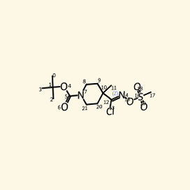 CC(C)(C)OC(=O)N1CCC(C)(/C(Cl)=N/OS(C)(=O)=O)CC1